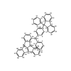 c1ccc(N(c2ccc(C3(c4ccccc4)c4ccccc4-c4ccccc43)cc2)c2cccc3c2n2c4ccccc4c4c5ccccc5n3c42)cc1